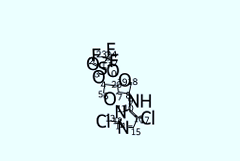 O=S(=O)(OC1COC2C(Nc3nc(Cl)ncc3Cl)COC12)C(F)(F)F